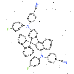 N#Cc1ccc(N(c2ccc(F)cc2)c2ccc3c(c2)C2(c4ccccc4-c4ccccc42)c2cc(N(c4ccc(F)cc4)c4ccc(C#N)cc4)c4ccccc4c2-3)cc1